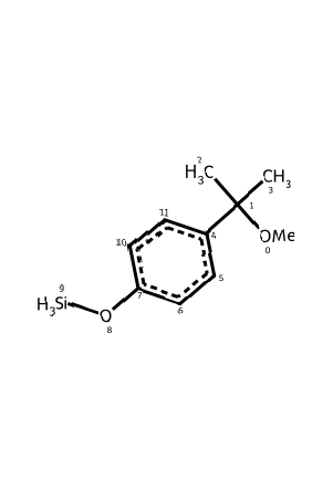 COC(C)(C)c1ccc(O[SiH3])cc1